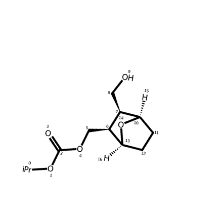 CC(C)OC(=O)OC[C@H]1[C@@H](CO)[C@H]2CC[C@@H]1O2